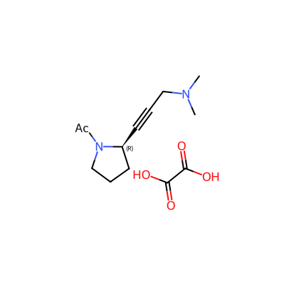 CC(=O)N1CCC[C@@H]1C#CCN(C)C.O=C(O)C(=O)O